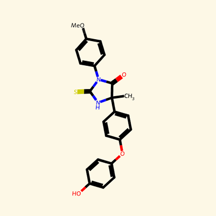 COc1ccc(N2C(=O)C(C)(c3ccc(Oc4ccc(O)cc4)cc3)NC2=S)cc1